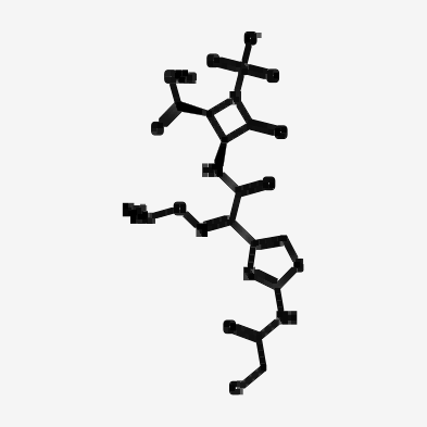 CCCCON=C(C(=O)N[C@@H]1C(=O)N(S(=O)(=O)[O-])[C@@H]1C(=O)OC)c1csc(NC(=O)CCl)n1.[Na+]